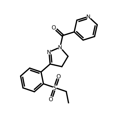 CCS(=O)(=O)c1ccccc1C1=NN(C(=O)c2cccnc2)CC1